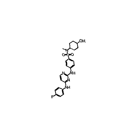 CN(C1CCC(O)CC1)S(=O)(=O)c1ccc(Nc2nccc(Nc3ccc(F)cc3)n2)cc1